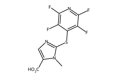 Cn1c(C(=O)O)cnc1Sc1c(F)c(F)nc(F)c1F